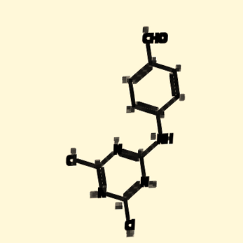 O=Cc1ccc(Nc2nc(Cl)nc(Cl)n2)cc1